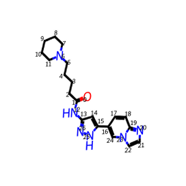 O=C(CCCCN1CCCCC1)Nc1cc(-c2ccc3nccn3c2)[nH]n1